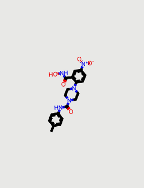 Cc1ccc(NC(=O)N2CCN(c3ccc([N+](=O)[O-])cc3C(=O)NO)CC2)cc1